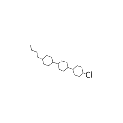 CCCCC1CCC(C2CCC(C3CCC(Cl)CC3)CC2)CC1